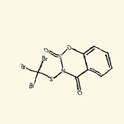 O=C1c2ccccc2OS(=O)N1SC(Br)(Br)Br